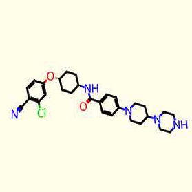 N#Cc1ccc(O[C@H]2CC[C@H](NC(=O)c3ccc(N4CCC(N5CCNCC5)CC4)cc3)CC2)cc1Cl